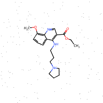 CCOC(=O)c1cnc2c(OC)cccc2c1NCCCN1CCCC1